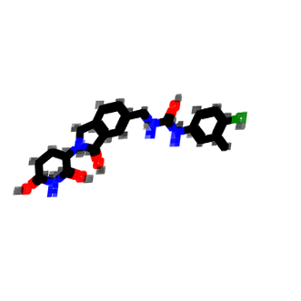 Cc1cc(NC(=O)NCc2ccc3c(c2)C(=O)N(C2CCC(=O)NC2=O)C3)ccc1Cl